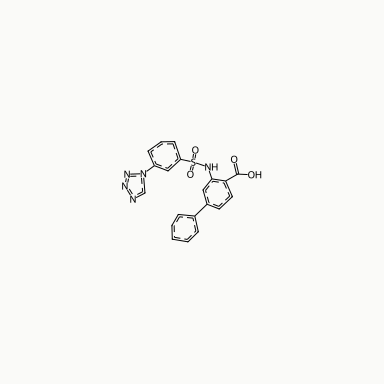 O=C(O)c1ccc(-c2ccccc2)cc1NS(=O)(=O)c1cccc(-n2cnnn2)c1